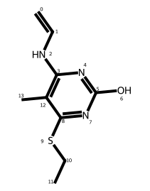 C=CNc1nc(O)nc(SCC)c1C